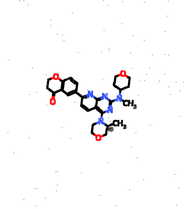 C[C@H]1COCCN1c1nc(N(C)C2CCOCC2)nc2nc(-c3ccc4c(c3)C(=O)CCO4)ccc12